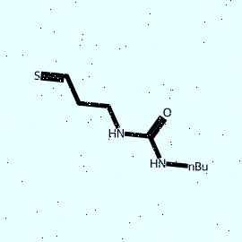 CCCCNC(=O)NCCC=S